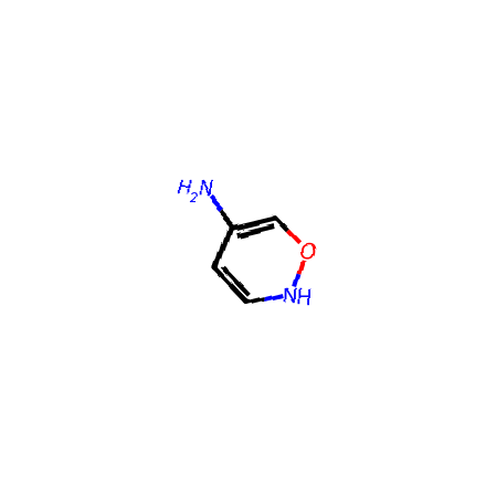 NC1=CONC=C1